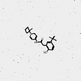 CC(C)(C)c1ccc(O)c(CC(=O)NC2=CCN(C3(C)CCC3)C=C2)c1